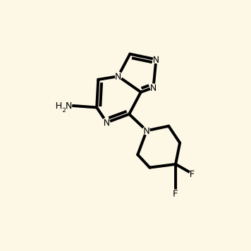 Nc1cn2cnnc2c(N2CCC(F)(F)CC2)n1